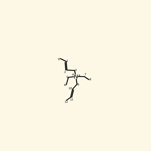 CC=CC[N+](CC)(CC)CC=CC